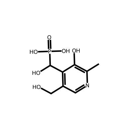 Cc1ncc(CO)c(C(O)P(=O)(O)O)c1O